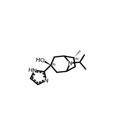 CC(C)N1C2C[C@@H](C)C1C[C@@](O)(c1ncc[nH]1)C2